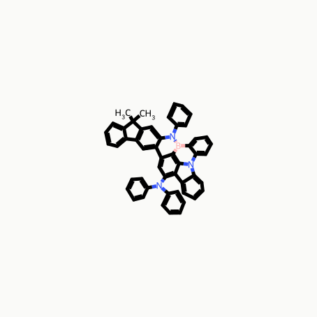 CC1(C)c2ccccc2-c2cc3c(cc21)N(c1ccccc1)B1c2ccccc2-n2c4ccccc4c4c(N(c5ccccc5)c5ccccc5)cc-3c1c42